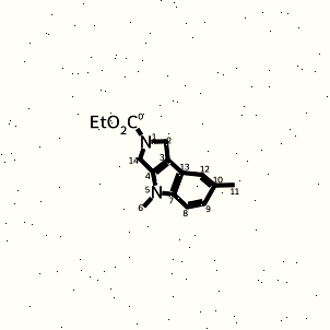 CCOC(=O)N1Cc2c(n(C)c3ccc(C)cc23)C1